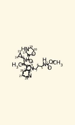 COC(=O)NCCCn1cc([C@@H](C)N(C(=O)[C@H]2CNCCO2)C2CC2)c2cccnc21